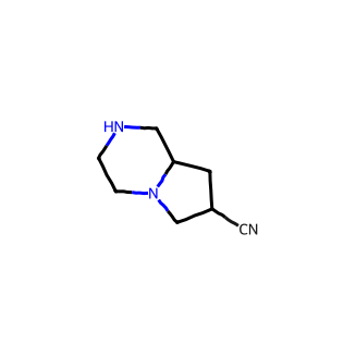 N#CC1CC2CNCCN2C1